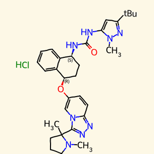 CN1CCCC1(C)c1nnc2ccc(O[C@@H]3CC[C@H](NC(=O)Nc4cc(C(C)(C)C)nn4C)c4ccccc43)cn12.Cl